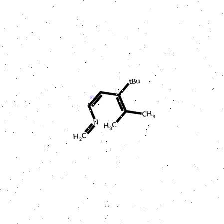 C=N/C=C\C(=C(C)C)C(C)(C)C